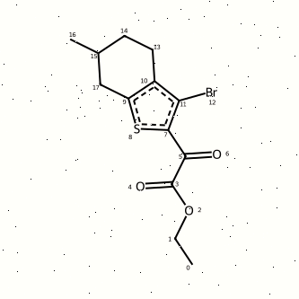 CCOC(=O)C(=O)c1sc2c(c1Br)CCC(C)C2